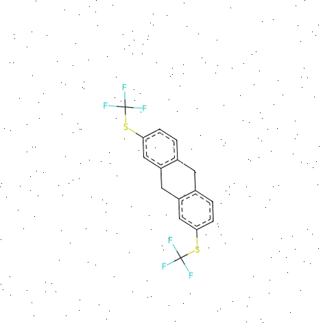 FC(F)(F)Sc1ccc2c(c1)Cc1cc(SC(F)(F)F)ccc1C2